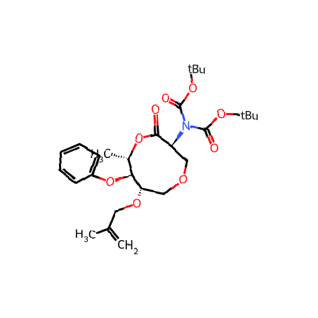 C=C(C)CO[C@H]1COC[C@H](N(C(=O)OC(C)(C)C)C(=O)OC(C)(C)C)C(=O)O[C@@H](C)[C@@H]1Oc1ccccc1